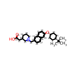 CC(C)(C)[C@H]1CC[C@H](Oc2ccc3cc(CN4CCCC(CC(=O)O)C4)ccc3c2)CC1